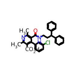 Cc1nc(C)c(C(=O)NCCC(c2ccccc2)c2ccccc2)c(-c2cccc(Cl)c2)c1C(=O)O